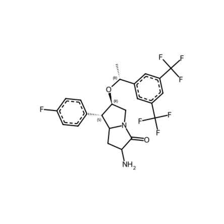 C[C@@H](O[C@H]1CN2C(=O)C(N)CC2[C@@H]1c1ccc(F)cc1)c1cc(C(F)(F)F)cc(C(F)(F)F)c1